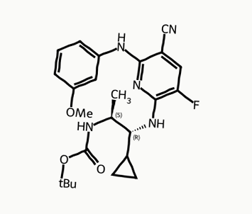 COc1cccc(Nc2nc(N[C@H](C3CC3)[C@H](C)NC(=O)OC(C)(C)C)c(F)cc2C#N)c1